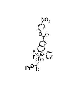 CC(C)OC(=O)COP(=O)(Oc1ccccc1)C(F)(F)c1ccc2sc(C(=O)Oc3ccc([N+](=O)[O-])cc3)cc2c1